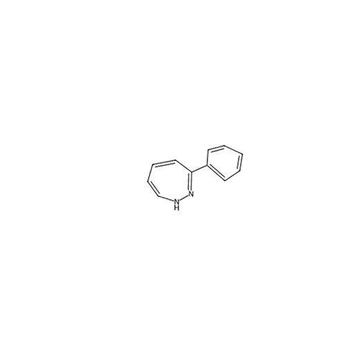 C1=CNN=C(c2ccccc2)C=C1